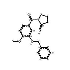 COc1ccc(C(=O)N2CCCC2=O)cc1OCc1ccccc1